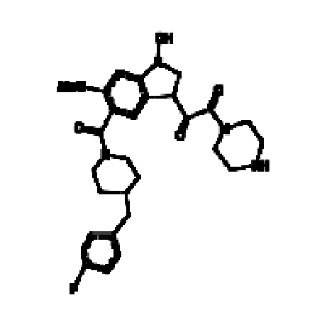 COc1cc2c(cc1C(=O)N1CCC(Cc3ccc(F)cc3)CC1)C(C(=O)C(=O)N1CCNCC1)CN2O